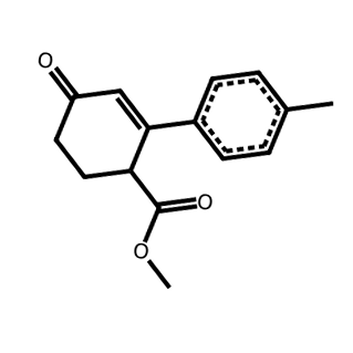 COC(=O)C1CCC(=O)C=C1c1ccc(C)cc1